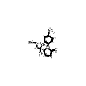 CC(C)(C)[SiH2]OC(C)(C)[C@H]1CCC(=O)N1c1ccc([N+](=O)[O-])cc1